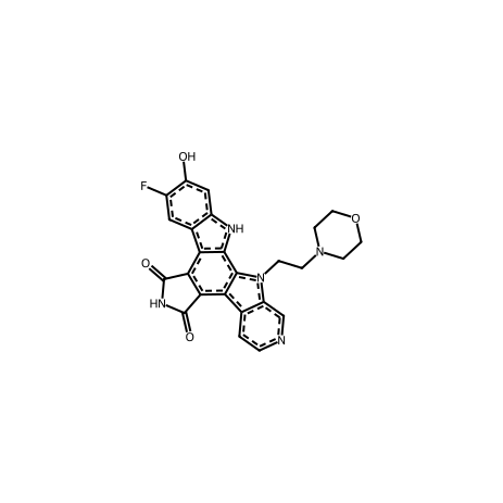 O=C1NC(=O)c2c1c1c3cc(F)c(O)cc3[nH]c1c1c2c2ccncc2n1CCN1CCOCC1